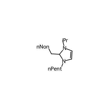 CCCCCCCCCCC1N(CCCCC)C=CN1C(C)C